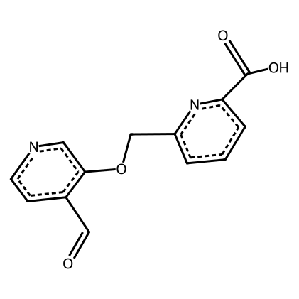 O=Cc1ccncc1OCc1cccc(C(=O)O)n1